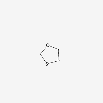 [CH]1COCS1